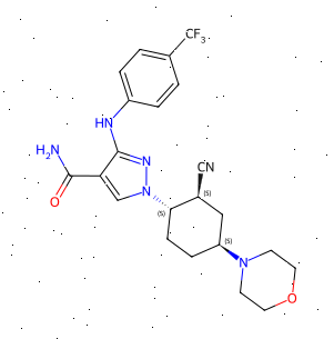 N#C[C@H]1C[C@@H](N2CCOCC2)CC[C@@H]1n1cc(C(N)=O)c(Nc2ccc(C(F)(F)F)cc2)n1